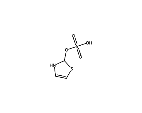 O=S(=O)(O)OC1NC=CS1